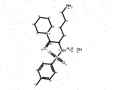 Cc1ccc(S(=O)(=O)NC(CCCCN)C(=O)N2CCCCC2)cc1.Cl.O